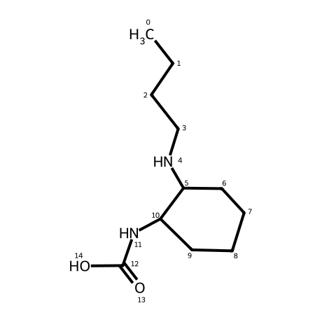 CCCCNC1CCCCC1NC(=O)O